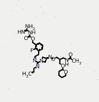 C=CC/N=C(\N=C/Cc1cccc(COC(=O)NC(=N)N)c1F)N1CC(=NOCC(CNC(C)=O)COC2CCCCO2)C1